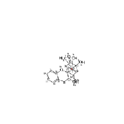 C[N+]1(C)C(O)=C2CC(=O)N1C1(Oc3ccccc3CC1O)C2=O